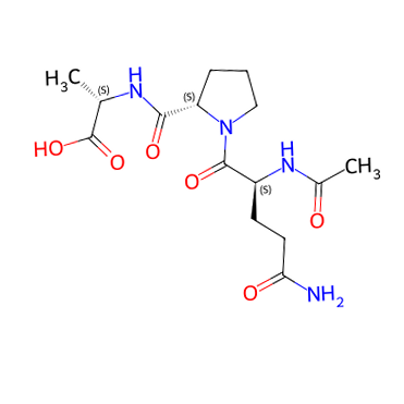 CC(=O)N[C@@H](CCC(N)=O)C(=O)N1CCC[C@H]1C(=O)N[C@@H](C)C(=O)O